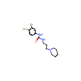 CCc1cc(NC(=O)NCCCN2CCCCC2)ccc1Br